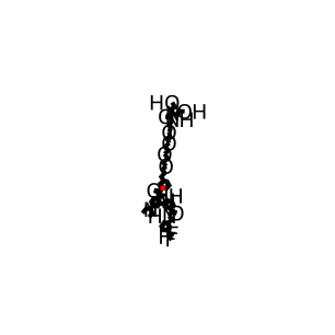 CCN(CC)c1ccc(NC(=O)c2cccc(CCCOCCOCCOCCOCCNC(=O)N(CCO)CCO)c2)c(-c2cc(C(=O)NCc3cccc(C(F)(F)F)c3)ccn2)c1